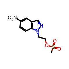 CS(=O)(=O)OCCn1ncc2cc([N+](=O)[O-])ccc21